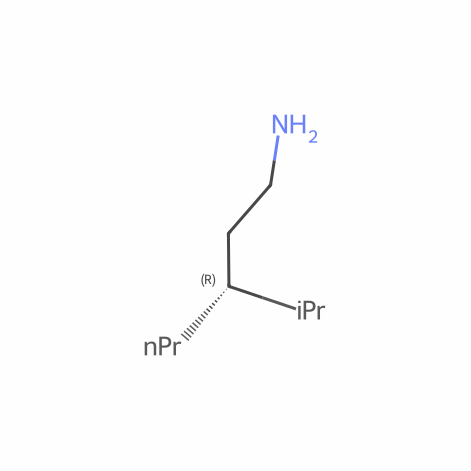 CCC[C@H](CCN)C(C)C